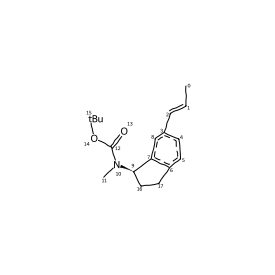 C/C=C/c1ccc2c(c1)[C@H](N(C)C(=O)OC(C)(C)C)CC2